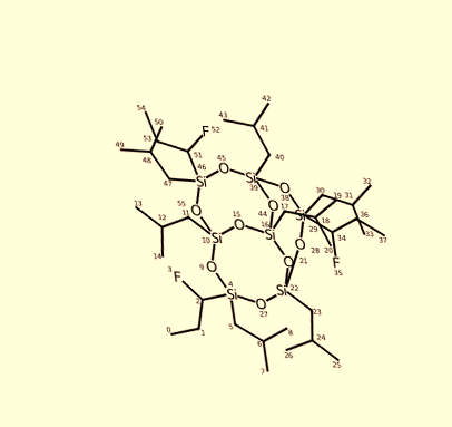 CCC(F)[Si]1(CC(C)C)O[Si]2(CC(C)C)O[Si]3(CC(C)C)O[Si](CC(C)C)(O1)O[Si](CC(C)C)(C(F)CC)O[Si](CC(C)C)(O3)O[Si](CC(C)C)(C(F)CC)O2